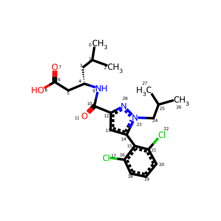 CC(C)C[C@@H](CC(=O)O)NC(=O)c1cc(-c2c(Cl)cccc2Cl)n(CC(C)C)n1